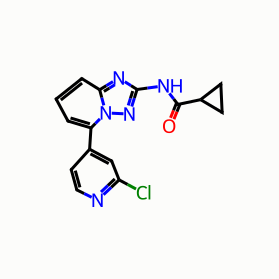 O=C(Nc1nc2cccc(-c3ccnc(Cl)c3)n2n1)C1CC1